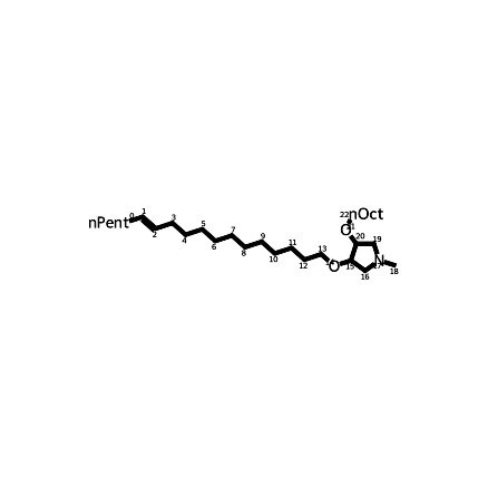 CCCCCC=CCCCCCCCCCCCOC1CN(C)CC1OCCCCCCCC